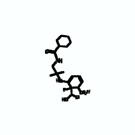 CCC(O)C1(F)C(NC(C)(C)CNC(=O)C2CCCCC2)=CC=CC1C(=O)O